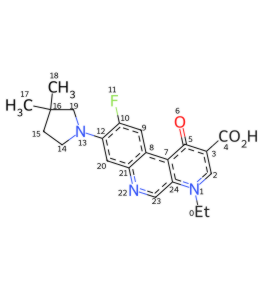 CCn1cc(C(=O)O)c(=O)c2c3cc(F)c(N4CCC(C)(C)C4)cc3ncc21